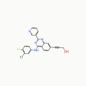 OCC#Cc1ccc2c(Nc3ccc(F)c(Cl)c3)nc(-c3cccnc3)nc2c1